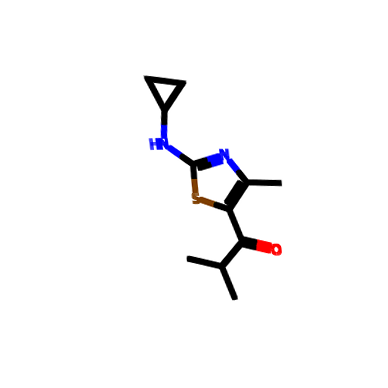 Cc1nc(NC2CC2)sc1C(=O)C(C)C